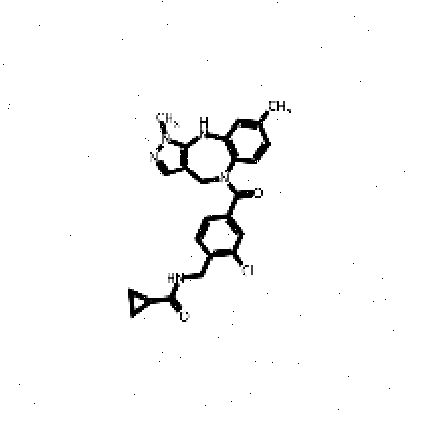 Cc1ccc2c(c1)Nc1c(cnn1C)CN2C(=O)c1ccc(CNC(=O)C2CC2)c(Cl)c1